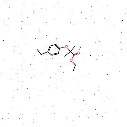 CCOC(=O)C(C)(C)Oc1ccc(CC)cc1